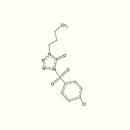 CCCCn1nnn(S(=O)(=O)c2ccc(Cl)cc2)c1=O